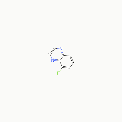 Fc1cccc2nc[c]nc12